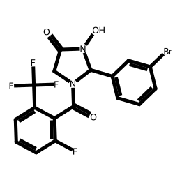 O=C1CN(C(=O)c2c(F)cccc2C(F)(F)F)C(c2cccc(Br)c2)N1O